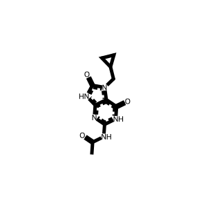 CC(=O)Nc1nc2[nH]c(=O)n(CC3CC3)c2c(=O)[nH]1